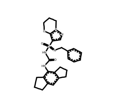 O=C(Nc1c2c(cc3c1CCC3)CCC2)NS(=O)(=NCc1ccccc1)c1cnn2c1OCCC2